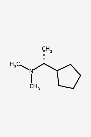 C[C@H](C1CCCC1)N(C)C